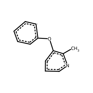 Cc1ncccc1Oc1[c]cccc1